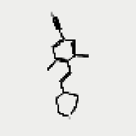 Cc1cc(C#N)cc(C)c1C=CC1CCNCC1